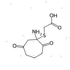 NC1(SCC(=O)O)CC(=O)CCCC1=O